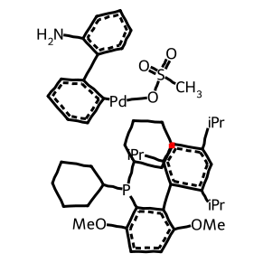 COc1ccc(OC)c(P(C2CCCCC2)C2CCCCC2)c1-c1c(C(C)C)cc(C(C)C)cc1C(C)C.CS(=O)(=O)[O][Pd][c]1ccccc1-c1ccccc1N